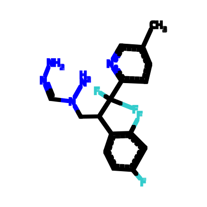 Cc1ccc(C(F)(F)C(CN(N)/C=N\N)c2ccc(F)cc2F)nc1